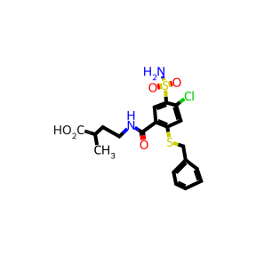 CC(CCNC(=O)c1cc(S(N)(=O)=O)c(Cl)cc1SCc1ccccc1)C(=O)O